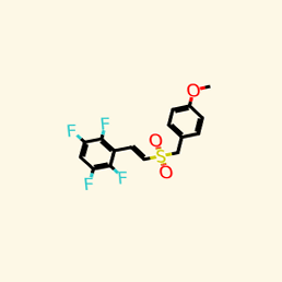 COc1ccc(CS(=O)(=O)C=Cc2c(F)c(F)cc(F)c2F)cc1